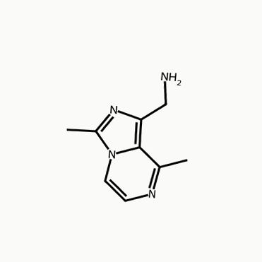 Cc1nccn2c(C)nc(CN)c12